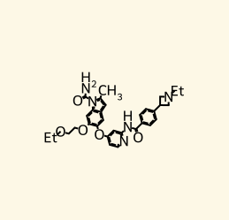 CCOCCOc1cc2c(cc1Oc1ccnc(NC(=O)c3ccc(C4CN(CC)C4)cc3)c1)cc(C)n2C(N)=O